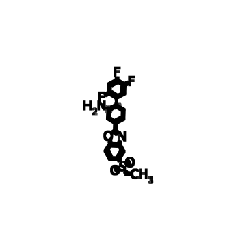 CCS(=O)(=O)c1ccc2oc(C3=CC[C@H](c4cc(F)c(F)cc4F)[C@@H](N)C3)nc2c1